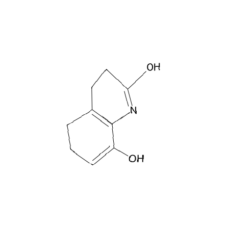 OC1=CCCC2=C1N=C(O)CC2